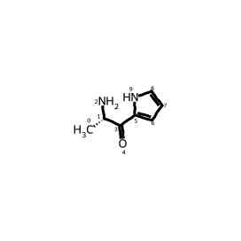 C[C@H](N)C(=O)c1ccc[nH]1